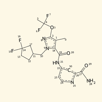 Cc1c(OC(C)(F)F)nn(CC2CCC(F)(F)C2)c1C(=O)Nc1ccnc(C(N)=O)c1